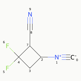 [C-]#[N+]C1CC(F)(F)C1C#N